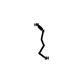 N=NCCCS